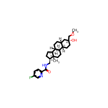 COC[C@@]1(O)CC[C@H]2[C@H](CC[C@@H]3[C@@H]2CC[C@]2(C)[C@@H](CNC(=O)c4ccc(F)cn4)CC[C@@H]32)C1